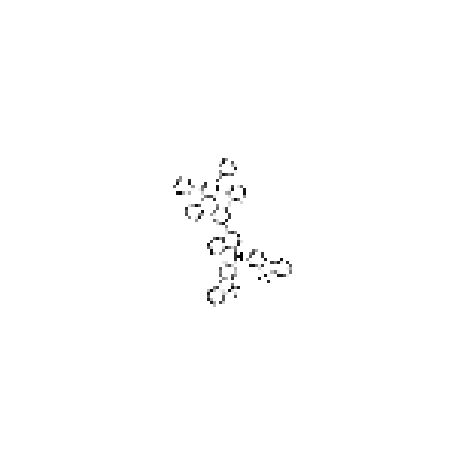 CC1(C)c2ccccc2-c2ccc(N(c3ccc4c(c3)C(C)(C)c3ccccc3-4)c3ccc(-c4ccc5c(c4)c4ccccc4c4c(-c6ccccc6)cc(-c6ccccc6)c(-c6ccccc6)c54)c4ccccc34)cc21